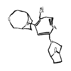 N#Cc1cnc(N2CC3CCC(C2)O3)cc1N1C2CCC1COC2